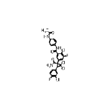 CC(=O)Nc1ccc(NC(=O)c2cc(C3(C(N)=O)C(c4ccc(F)c(Cl)c4)C3(Cl)Cl)cc(F)c2Cl)cc1